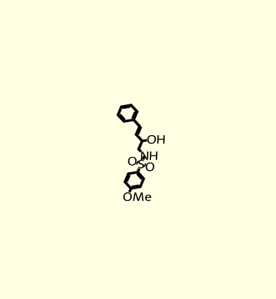 COc1ccc(S(=O)(=O)NCC(O)/C=C/c2ccccc2)cc1